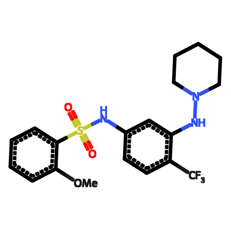 COc1ccccc1S(=O)(=O)Nc1ccc(C(F)(F)F)c(NN2CCCCC2)c1